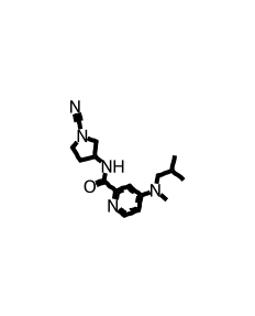 CC(C)CN(C)c1ccnc(C(=O)NC2CCN(C#N)C2)c1